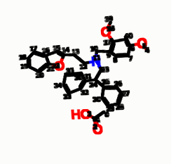 CC(=O)O.COc1ccc(CN(CCc2cc3ccccc3o2)CC(c2ccccc2)c2ccccc2)c(OC)c1